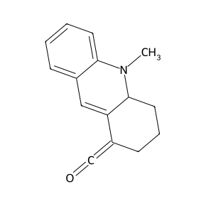 CN1c2ccccc2C=C2C(=C=O)CCCC21